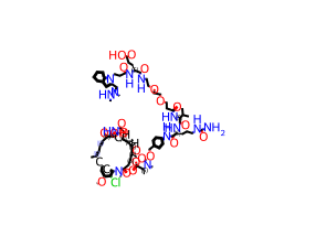 CNN(C)Cc1cc2ccccc2n1CCC(=O)N[C@@H](CCC(=O)O)C(=O)NCCOCCOCCC(=O)N[C@H](C(=O)N[C@@H](CCCNC(N)=O)C(=O)Nc1ccc(COC(=O)N(C)[C@@H](C)C(=O)O[C@H]2CC(=O)N(C)c3cc(cc(OC)c3Cl)C/C(C)=C/C=C/[C@@H](OC)[C@@]3(O)C[C@H](OC(=O)N3)[C@@H](C)[C@@H]3O[C@]23C)cc1)C(C)C